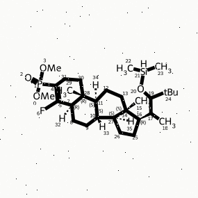 COP(=O)(OC)C1=C(F)[C@@H]2CC[C@@H]3[C@H](CC[C@]4(C)[C@@H](C(C)C(O[SiH](C)C)C(C)(C)C)CC[C@@H]34)[C@@]2(C)CC1